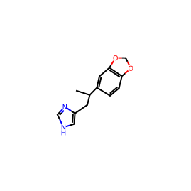 CC(Cc1c[nH]cn1)c1ccc2c(c1)OCO2